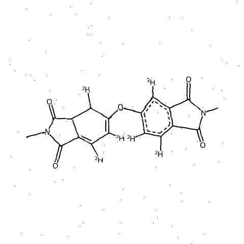 [2H]C1=C(Oc2c([2H])c([2H])c3c(c2[2H])C(=O)N(C)C3=O)C([2H])C2C(=O)N(C)C(=O)C2=C1[2H]